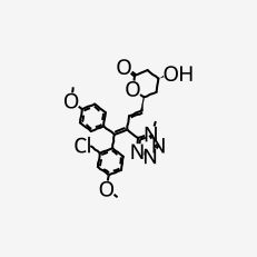 COc1ccc(/C(=C(\C=C\[C@@H]2C[C@@H](O)CC(=O)O2)c2nnnn2C)c2ccc(OC)cc2Cl)cc1